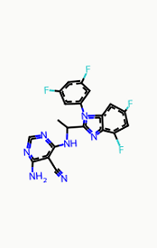 CC(Nc1ncnc(N)c1C#N)c1nc2c(F)cc(F)cc2n1-c1cc(F)cc(F)c1